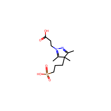 CC1=N[N+](CCC(=O)O)=C(C)C1(C)CCCS(=O)(=O)O